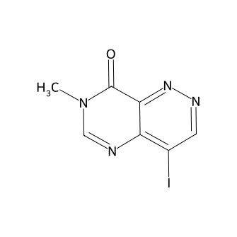 Cn1cnc2c(I)cnnc2c1=O